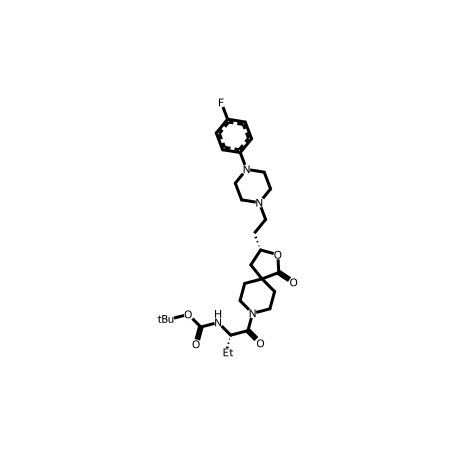 CC[C@H](NC(=O)OC(C)(C)C)C(=O)N1CCC2(CC1)C[C@H](CCN1CCN(c3ccc(F)cc3)CC1)OC2=O